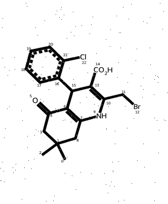 CC1(C)CC(=O)C2=C(C1)NC(CBr)=C(C(=O)O)C2c1ccccc1Cl